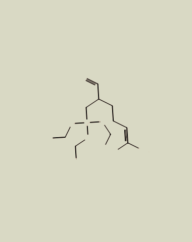 C=CC(CCC=C(C)C)C[Si](OCC)(OCC)OCC